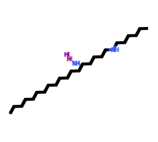 CCCCCCCCCCCCCCCCCCNCCCCCC.I.I.N